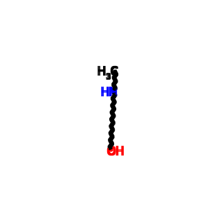 CCCCCCNCCCCCCCCCCCCCCCCO